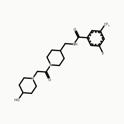 O=C(NCC1CCN(C(=O)CN2CCC(O)CC2)CC1)c1cc(F)cc(C(F)(F)F)c1